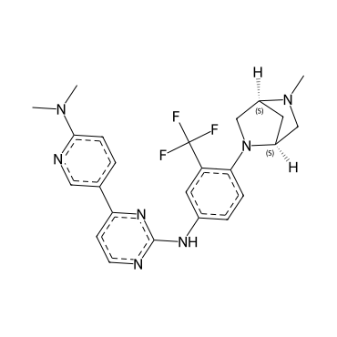 CN(C)c1ccc(-c2ccnc(Nc3ccc(N4C[C@@H]5C[C@H]4CN5C)c(C(F)(F)F)c3)n2)cn1